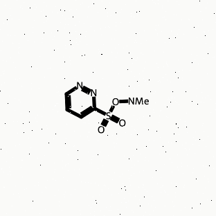 CNOS(=O)(=O)c1cccnn1